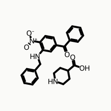 O=C(O)C1CCNCC1.O=C(c1ccccc1)c1ccc([N+](=O)[O-])c(NCc2ccccc2)c1